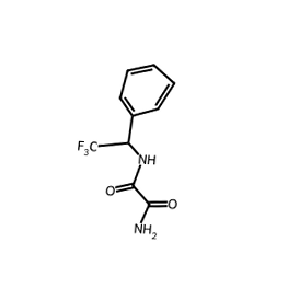 NC(=O)C(=O)NC(c1ccccc1)C(F)(F)F